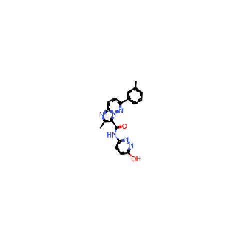 Cc1cccc(-c2ccc3nc(C)c(C(=O)Nc4ccc(O)nn4)n3n2)c1